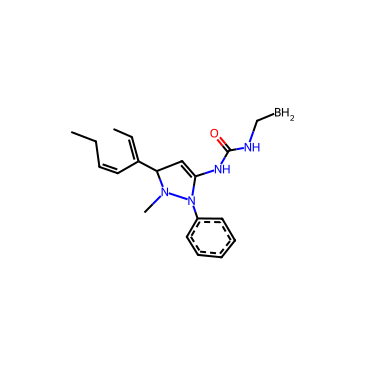 BCNC(=O)NC1=CC(C(/C=C\CC)=C/C)N(C)N1c1ccccc1